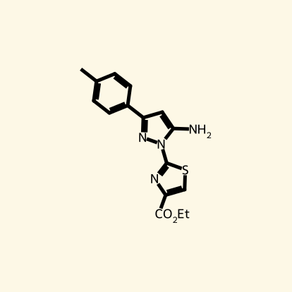 CCOC(=O)c1csc(-n2nc(-c3ccc(C)cc3)cc2N)n1